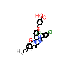 C/C=C/Cn1cc(-c2ccc(Cl)cc2Cl)nc1[C@H](Cc1ccc(OCc2ccc(C(=O)O)cc2)cc1)NC(=O)[C@H]1CC[C@H](CC)CC1